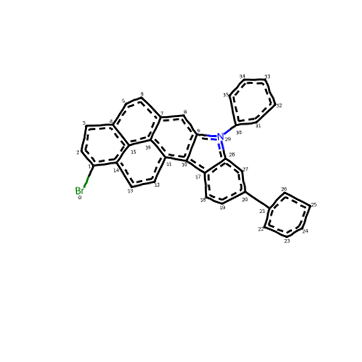 Brc1ccc2ccc3cc4c(c5ccc1c2c35)c1ccc(-c2ccccc2)cc1n4-c1ccccc1